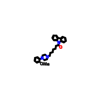 COc1ccccc1N1CCN(CCCCCCC(=O)n2c3ccccc3c3ccccc32)CC1